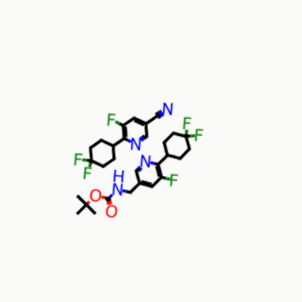 CC(C)(C)OC(=O)NCc1cnc(C2CCC(F)(F)CC2)c(F)c1.N#Cc1cnc(C2CCC(F)(F)CC2)c(F)c1